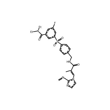 C=Nc1nccn1/C=C(\C)C(=O)NCc1ccc(S(=O)(=O)c2cc(F)cc(C(=O)N(CC)CC)c2)cc1